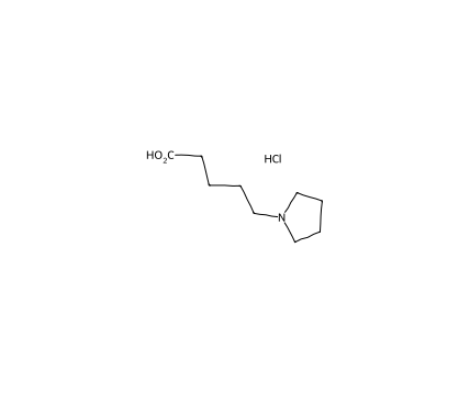 Cl.O=C(O)CCCCN1CCCC1